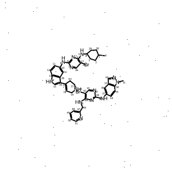 CC1CCC(Nc2nc(Nc3ccc4[nH]cc(C5=CCNCC5)c4c3)ncc2Br)CC1.Cn1ncc2cc(Nc3ncc(Br)c(NCc4ccccn4)n3)ccc21